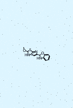 COC1Nn2cc(C3Nc4ccccc4O3)nc2S1